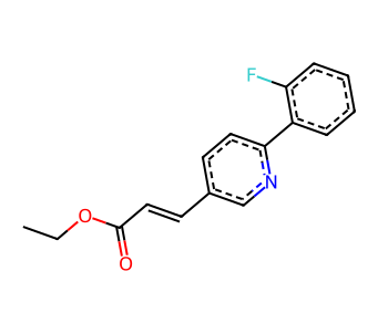 CCOC(=O)/C=C/c1ccc(-c2ccccc2F)nc1